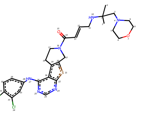 CC(C)(CN1CCOCC1)NC/C=C/C(=O)N1CCc2c(sc3ncnc(Nc4ccc(Cl)c(Cl)c4)c23)C1